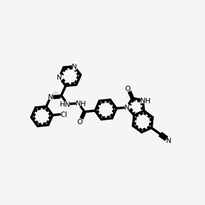 N#Cc1ccc2c(c1)[nH]c(=O)n2-c1ccc(C(=O)NN/C(=N\c2ccccc2Cl)c2ccncn2)cc1